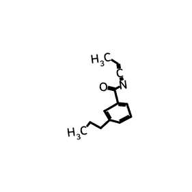 CC=C=NC(=O)c1cccc(CCC)c1